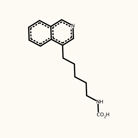 O=C(O)NCCCCCc1cncc2ccccc12